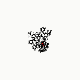 FC(F)(F)c1cc2c3c(c1)N(c1ccccc1)c1cc4c(cc1B3c1cc3c(cc1O2)N(c1ccccc1)c1cc(C(F)(F)F)cc2c1B3c1sc3ccc(C(F)(F)F)cc3c1O2)B1c2sc3ccc(C(F)(F)F)cc3c2Oc2cc(C(F)(F)F)cc(c21)N4c1ccccc1